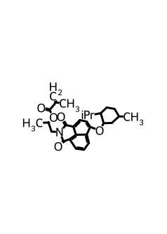 C=C(C)C(=O)OC(C)CN1C(=O)c2cccc3c(OC4CC(C)CCC4C(C)C)ccc(c23)C1=O